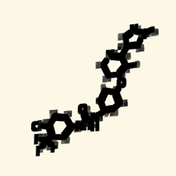 CC1=C(Oc2ccc(NC(=O)Nc3ccc(Cl)c(C(F)(F)F)c3)cc2)CCN=C1c1cnn(C)c1